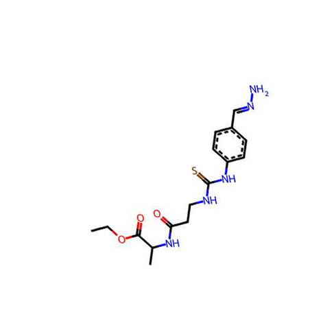 CCOC(=O)C(C)NC(=O)CCNC(=S)Nc1ccc(C=NN)cc1